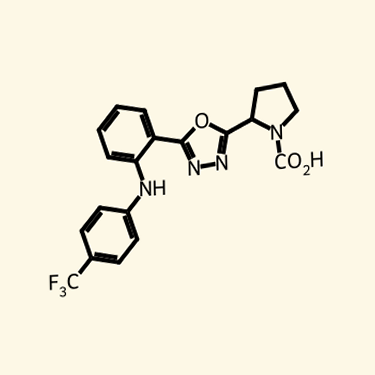 O=C(O)N1CCCC1c1nnc(-c2ccccc2Nc2ccc(C(F)(F)F)cc2)o1